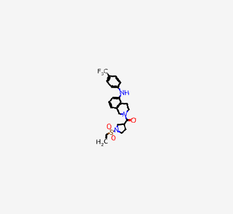 C=CS(=O)(=O)N1CCC(C(=O)N2CCc3c(cccc3Nc3ccc(C(F)(F)F)cc3)C2)C1